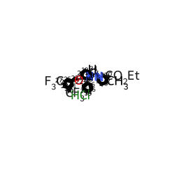 CCOC(=O)C1(C)CCCN(C[C@H]2C[C@]3(c4ccccc4)N[C@H]2CC[C@H]3OCc2cc(C(F)(F)F)cc(C(F)(F)F)c2)C1.Cl